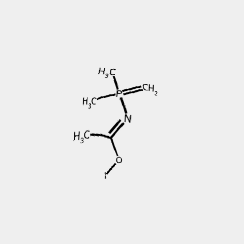 C=P(C)(C)/N=C(\C)OI